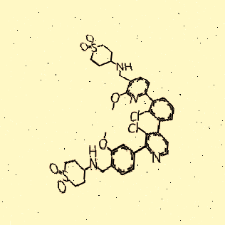 COc1cc(-c2nccc(-c3cccc(-c4ccc(CNC5CCS(=O)(=O)CC5)c(OC)n4)c3Cl)c2Cl)ccc1CNC1CCS(=O)(=O)CC1